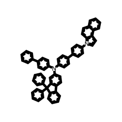 c1ccc(-c2ccc(N(c3ccc(-c4ccc(-n5ccc6c7ccccc7ccc65)cc4)cc3)c3ccc4c(c3)C(c3ccccc3)(c3ccccc3)c3ccccc3-4)cc2)cc1